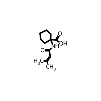 CC(C)=CC(=O)NC1(C(=O)O)CCCCC1